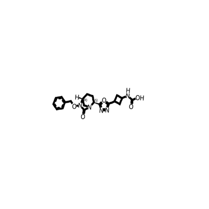 O=C(O)NC1CC(c2nnc([C@@H]3CC[C@@H]4CN3C(=O)N4OCc3ccccc3)o2)C1